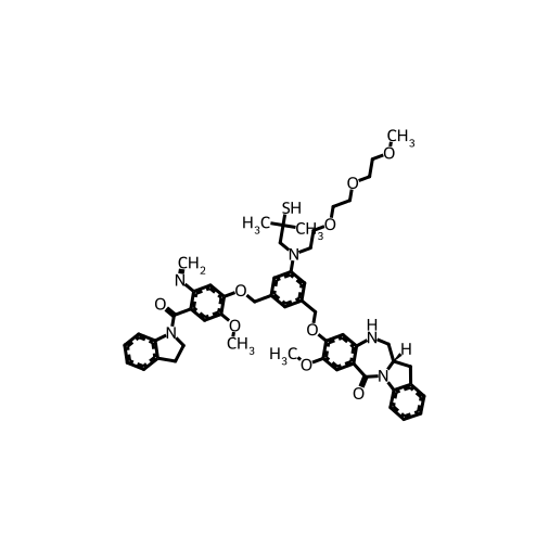 C=Nc1cc(OCc2cc(COc3cc4c(cc3OC)C(=O)N3c5ccccc5C[C@H]3CN4)cc(N(CCOCCOCCOC)CC(C)(C)S)c2)c(OC)cc1C(=O)N1CCc2ccccc21